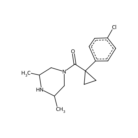 CC1CN(C(=O)C2(c3ccc(Cl)cc3)CC2)CC(C)N1